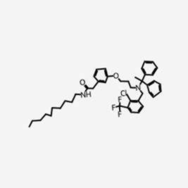 CCCCCCCCCCNC(=O)Cc1cccc(OCCCN(Cc2cccc(C(F)(F)F)c2Cl)C(C)(c2ccccc2)c2ccccc2)c1